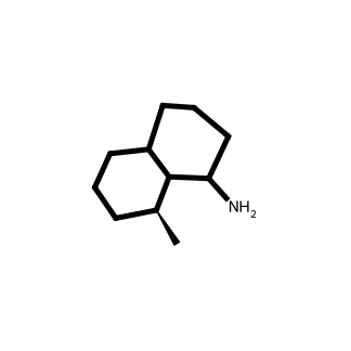 C[C@H]1CCCC2CCCC(N)C21